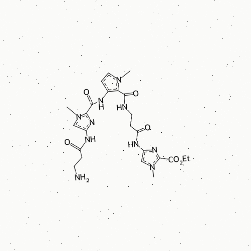 CCOC(=O)c1nc(NC(=O)CCNC(=O)c2c(NC(=O)c3nc(NC(=O)CCN)cn3C)ccn2C)cn1C